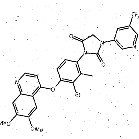 CCc1c(Oc2ccnc3cc(OC)c(OC)cc23)ccc(N2C(=O)CN(c3cncc(C(F)(F)F)c3)C2=O)c1C